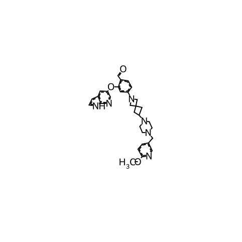 COc1ccc(CN2CCN(C3CC4(C3)CN(c3ccc(C=O)c(Oc5cnc6[nH]ccc6c5)c3)C4)CC2)cn1